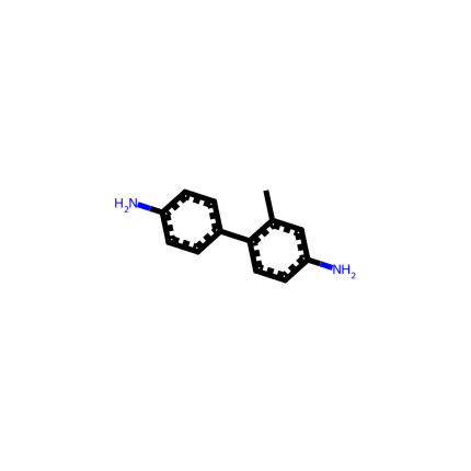 Cc1cc(N)ccc1-c1ccc(N)cc1